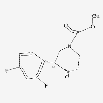 CC(C)(C)OC(=O)N1CCN[C@H](c2ccc(F)cc2F)C1